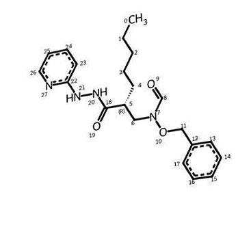 CCCCC[C@H](CN(C=O)OCc1ccccc1)C(=O)NNc1ccccn1